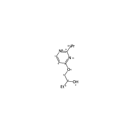 CCC(O)COc1ccnc(C(C)C)n1